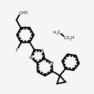 CC(=O)O.O=CCc1ccc(-c2nc3ccc(C4(c5ccccc5)CC4)nc3s2)c(F)c1